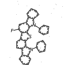 Fc1cc2c3ccccc3n(-c3ccccc3)c2c2sc3c(ccc4c5ccccc5n(-c5ccccc5)c43)c12